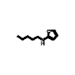 CCCCCNc1ccco1